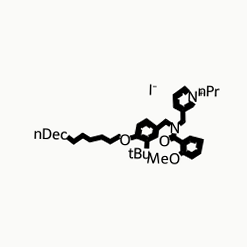 CCCCCCCCCCCCCCCCOc1ccc(CN(Cc2ccc[n+](CCC)c2)C(=O)c2ccccc2OC)cc1C(C)(C)C.[I-]